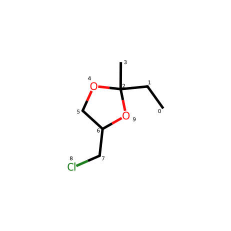 CCC1(C)OCC(CCl)O1